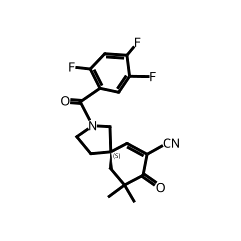 CC1(C)C[C@@]2(C=C(C#N)C1=O)CCN(C(=O)c1cc(F)c(F)cc1F)C2